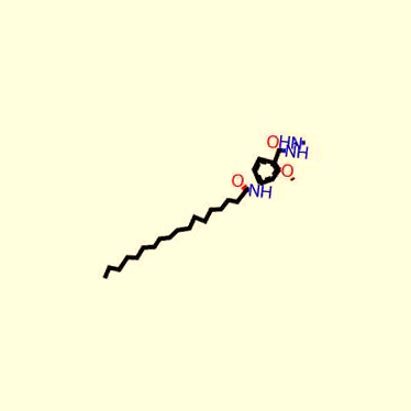 CCCCCCCCCCCCCCCCCC(=O)Nc1ccc(C(=O)NNC)c(OC)c1